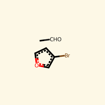 Brc1ccoc1.CC=O